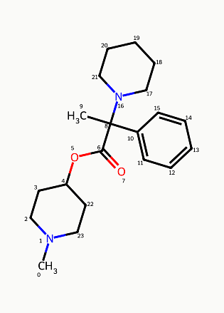 CN1CCC(OC(=O)C(C)(c2ccccc2)N2CCCCC2)CC1